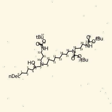 CCCCCCCCCCCCCC[C@@H](O)CN(CCCCCCCCN(CCCNC(=O)OC(C)(C)C)C(=O)OC(C)(C)C)CCCNC(=O)OC(C)(C)C